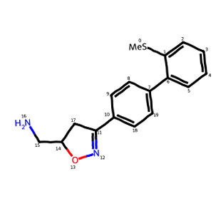 CSc1ccccc1-c1ccc(C2=NOC(CN)C2)cc1